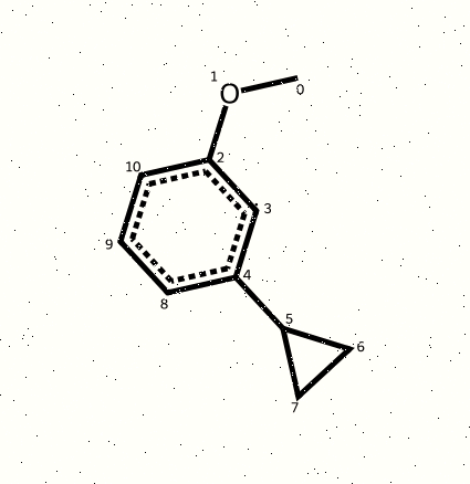 COc1[c]c(C2CC2)ccc1